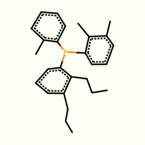 CCCc1cccc(P(c2ccccc2C)c2cccc(C)c2C)c1CCC